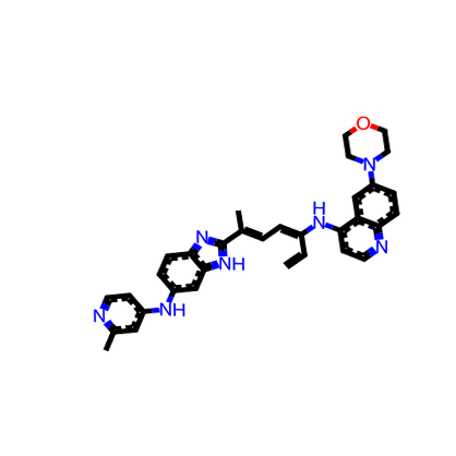 C=C/C(=C\C=C(/C)c1nc2ccc(Nc3ccnc(C)c3)cc2[nH]1)Nc1ccnc2ccc(N3CCOCC3)cc12